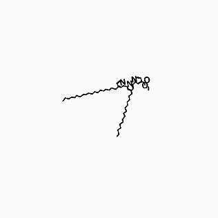 CCCCCCCCCCCCCCCCCCCc1ccnc(-c2cc(CCCCCCCCCCCCCCCC)cc(-c3cc(C(=O)OCC)ccn3)n2)c1